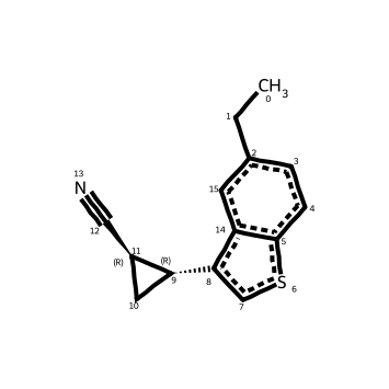 CCc1ccc2scc([C@@H]3C[C@H]3C#N)c2c1